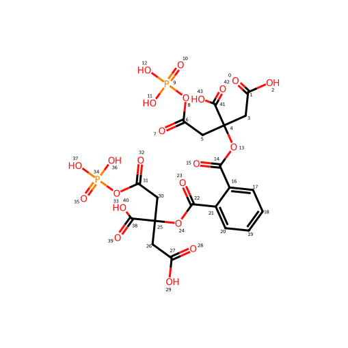 O=C(O)CC(CC(=O)OP(=O)(O)O)(OC(=O)c1ccccc1C(=O)OC(CC(=O)O)(CC(=O)OP(=O)(O)O)C(=O)O)C(=O)O